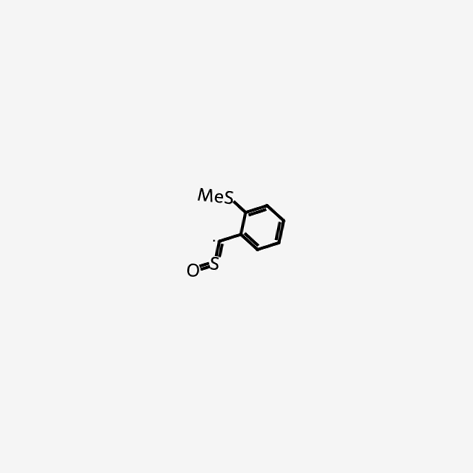 CSc1ccccc1[C]=S=O